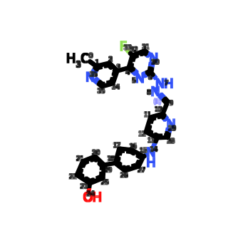 Cc1cc(-c2nc(N/N=C/c3ccc(Nc4ccc(-c5cccc(O)c5)cc4)cn3)ncc2F)ccn1